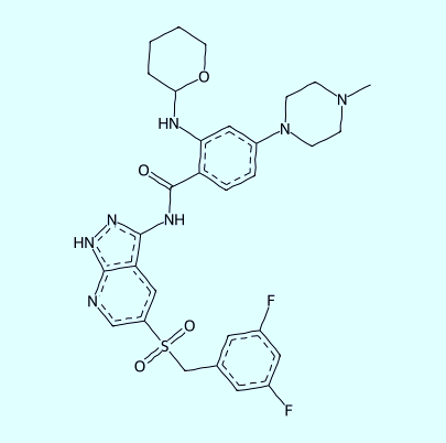 CN1CCN(c2ccc(C(=O)Nc3n[nH]c4ncc(S(=O)(=O)Cc5cc(F)cc(F)c5)cc34)c(NC3CCCCO3)c2)CC1